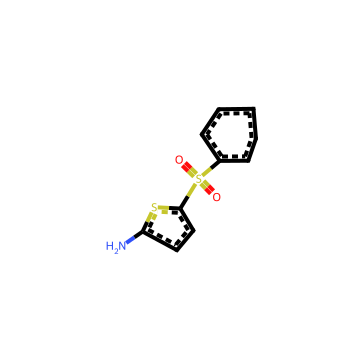 Nc1ccc(S(=O)(=O)c2ccccc2)s1